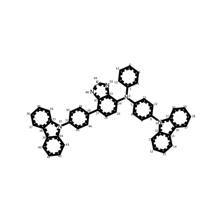 c1ccc(N(c2ccc(-n3c4ccccc4c4ccccc43)cc2)c2ccc(-c3ccc(-n4c5ccccc5c5ccccc54)cc3)c3nsnc23)cc1